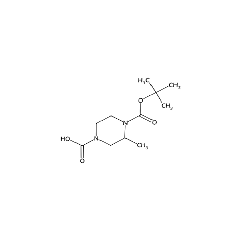 CC1CN(C(=O)O)CCN1C(=O)OC(C)(C)C